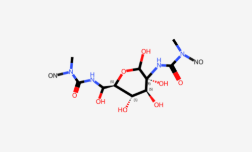 CN(N=O)C(=O)NC(O)[C@H]1OC(O)[C@@](O)(NC(=O)N(C)N=O)[C@@H](O)[C@@H]1O